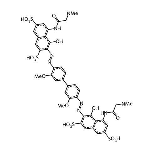 CNCC(=O)Nc1cc(S(=O)(=O)O)cc2cc(S(=O)(=O)O)c(N=Nc3ccc(-c4ccc(N=Nc5c(S(=O)(=O)O)cc6cc(S(=O)(=O)O)cc(NC(=O)CNC)c6c5O)c(OC)c4)cc3OC)c(O)c12